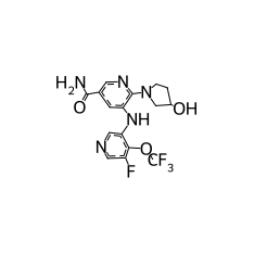 NC(=O)c1cnc(N2CCC(O)C2)c(Nc2cncc(F)c2OC(F)(F)F)c1